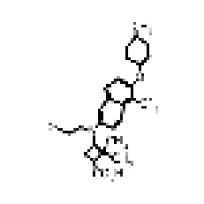 CC(C)CCN(c1ccc2c(C(F)(F)F)c(OC3CCC(C)CC3)ccc2c1)C1CC(C(=O)O)C1(C)C